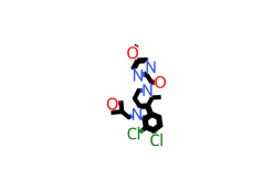 COc1cnc(C(=O)N2CCc3c(c4ccc(Cl)c(Cl)c4n3CC3COC3)C2C)nc1